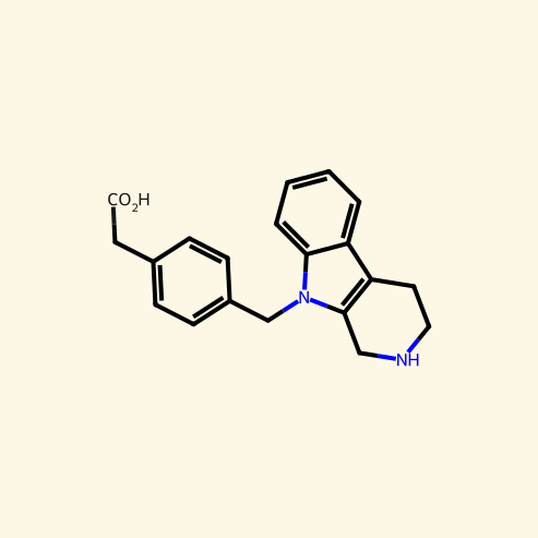 O=C(O)Cc1ccc(Cn2c3c(c4ccccc42)CCNC3)cc1